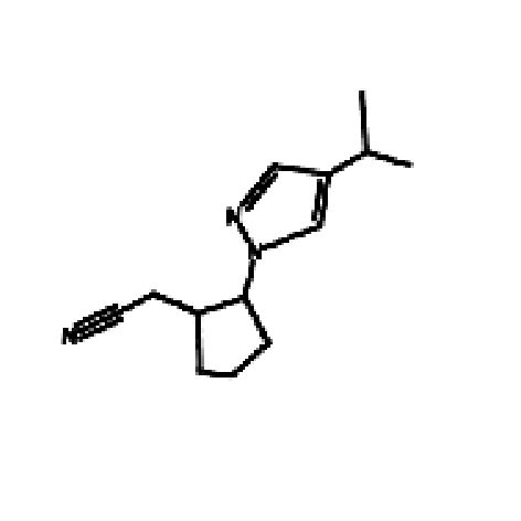 CC(C)c1cnn(C2CCCC2CC#N)c1